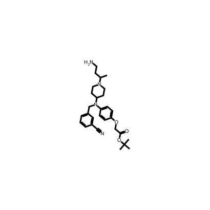 CC(CCN)N1CCC(N(Cc2cccc(C#N)c2)c2ccc(OCC(=O)OC(C)(C)C)cc2)CC1